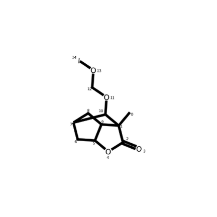 CC12C(=O)OC3CC(CC31)C2OCOI